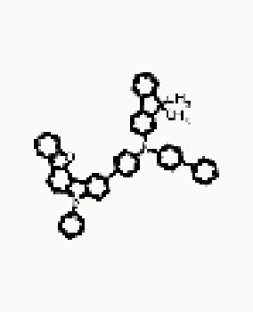 CC1(C)c2ccccc2-c2ccc(N(c3ccc(-c4ccccc4)cc3)c3ccc(-c4ccc5c(c4)c4c6oc7ccccc7c6ccc4n5-c4ccccc4)cc3)cc21